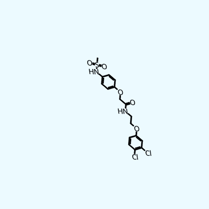 CS(=O)(=O)Nc1ccc(OCC(=O)NCCOc2ccc(Cl)c(Cl)c2)cc1